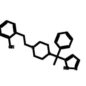 CC(c1ccccc1)(c1ccn[nH]1)N1CCN(CCc2ccccc2O)CC1